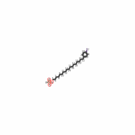 CS(=O)(=O)OCCCCCCCCCCCCCCCCCCc1ccc(I)cc1